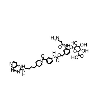 N#C/N=C(/NCCCCC1CCN(C(=O)c2cccc(NC(=O)OCc3ccc(O[C@@H]4O[C@H](C(=O)O)[C@@H](O)[C@H](O)[C@H]4O)c(NC(=O)CCN)c3)c2)CC1)Nc1ccncc1